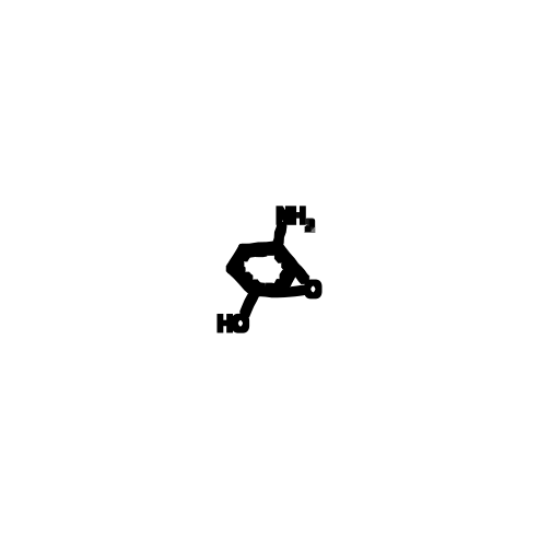 Nc1ccc(O)c2c1O2